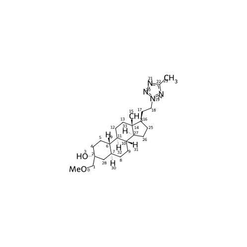 COC[C@@]1(O)CC[C@H]2[C@@H](CC[C@@H]3[C@@H]2CC[C@]2(C)[C@@H](CCn4nnc(C)n4)CC[C@@H]32)C1